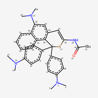 CN(C)c1ccc(C2(c3ccc(N(C)C)cc3)SC(NC(=O)C(C)(C)C)=Cc3cc(N(C)C)c4ccccc4c32)cc1